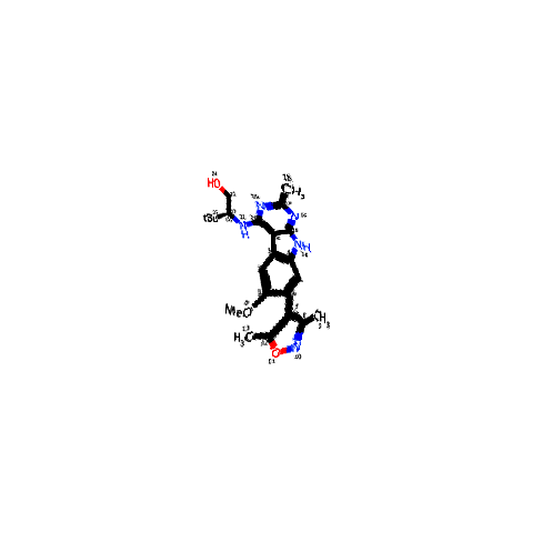 COc1cc2c(cc1-c1c(C)noc1C)[nH]c1nc(C)nc(N[C@H](CO)C(C)(C)C)c12